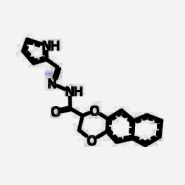 O=C(N/N=C/c1ccc[nH]1)C1COc2cc3ccccc3cc2O1